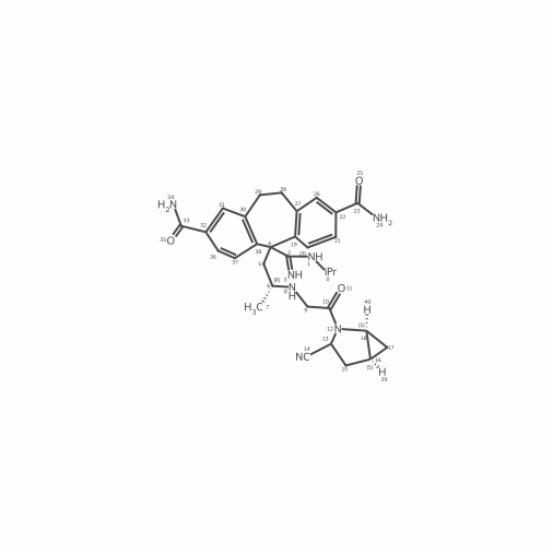 CC(C)NC(=N)C1(C[C@@H](C)NCC(=O)N2C(C#N)C[C@@H]3C[C@@H]32)c2ccc(C(N)=O)cc2CCc2cc(C(N)=O)ccc21